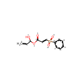 C=CC(O)OC(=O)C=CS(=O)(=O)c1ccccc1